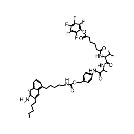 CCCCCc1cc2c(CCCCCNC(=O)OCc3ccc(NC(=O)C(C)NC(=O)C(NC(=O)CCCCC(=O)Oc4c(F)c(F)c(F)c(F)c4F)C(C)C)cc3)cccc2nc1N